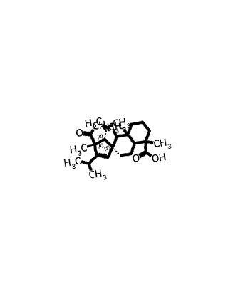 C=C(C)[C@H]1[C@@](C)(C(C)=O)C(C(C)C)=C[C@@]12CCC1C(C)(C(=O)O)CCCC1(C)C2C